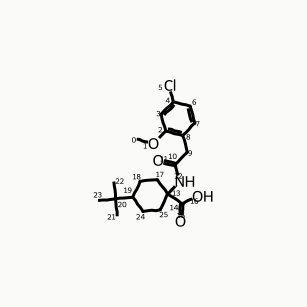 COc1cc(Cl)ccc1CC(=O)NC1(C(=O)O)CCC(C(C)(C)C)CC1